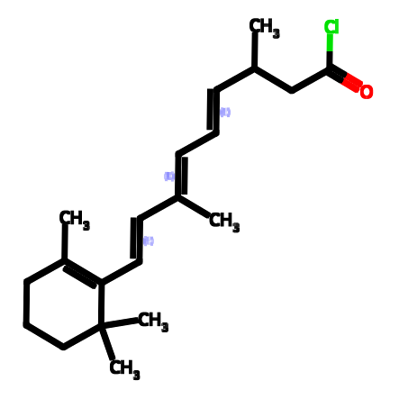 CC1=C(/C=C/C(C)=C/C=C/C(C)CC(=O)Cl)C(C)(C)CCC1